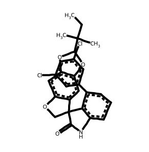 CCC(C)(C)C1Oc2cc3c(cc2O1)C1(CO3)C(=O)Nc2cccc(-c3cc(Cl)cc(Cl)c3)c21